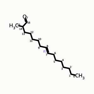 CCCCCCC/C=C/CCCCCC(C)C=O